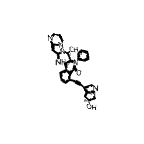 C[C@@H](c1cc2cccc(C#Cc3cnn4c3C[C@@H](O)C4)c2c(=O)n1-c1ccccc1)N1C(N)C=C2N=CC=CN21